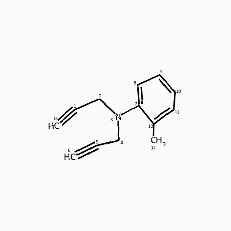 C#CCN(CC#C)c1cc[c]cc1C